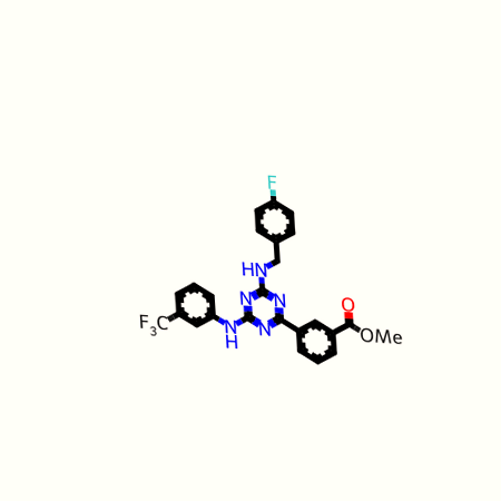 COC(=O)c1cccc(-c2nc(NCc3ccc(F)cc3)nc(Nc3cccc(C(F)(F)F)c3)n2)c1